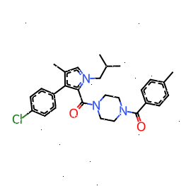 Cc1ccc(C(=O)N2CCN(C(=O)c3c(-c4ccc(Cl)cc4)c(C)cn3CC(C)C)CC2)cc1